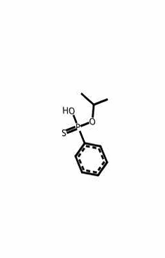 CC(C)OP(O)(=S)c1ccccc1